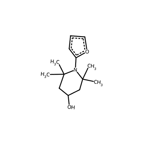 CC1(C)CC(O)CC(C)(C)N1c1ccco1